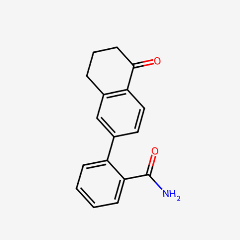 NC(=O)c1ccccc1-c1ccc2c(c1)CCCC2=O